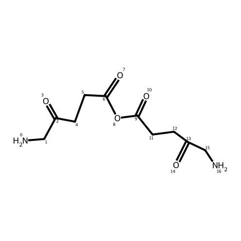 NCC(=O)CCC(=O)OC(=O)CCC(=O)CN